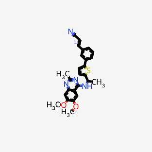 COc1cc2nc(C)nc(NC(C)c3ccc(-c4cccc(/C=C/C#N)c4)s3)c2cc1OC